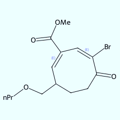 CCCOCC1/C=C(C(=O)OC)\C=C(\Br)C(=O)CC1